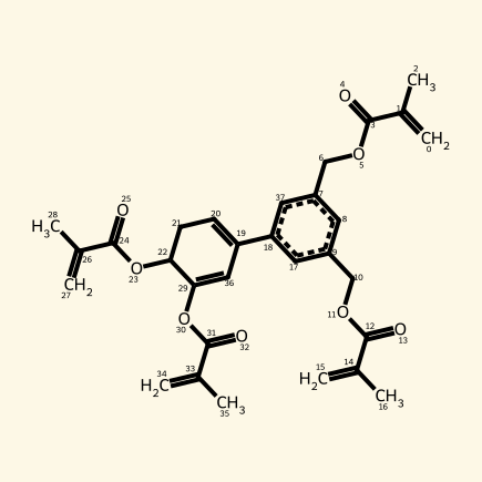 C=C(C)C(=O)OCc1cc(COC(=O)C(=C)C)cc(C2=CCC(OC(=O)C(=C)C)C(OC(=O)C(=C)C)=C2)c1